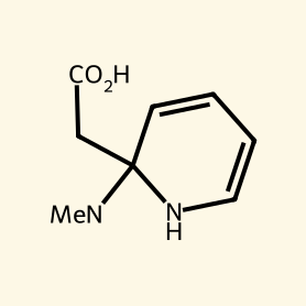 CNC1(CC(=O)O)C=CC=CN1